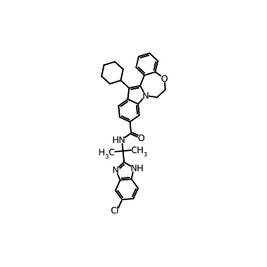 CC(C)(NC(=O)c1ccc2c(C3CCCCC3)c3n(c2c1)CCOc1ccccc1-3)c1nc2cc(Cl)ccc2[nH]1